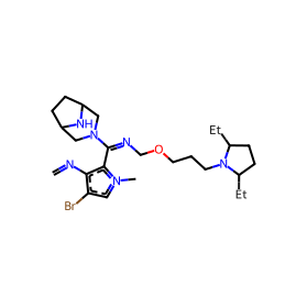 C=Nc1c(Br)cn(C)c1/C(=N\COCCCN1C(CC)CCC1CC)N1CC2CCC(C1)N2